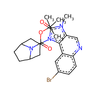 Cn1c(=O)n(C2CC3CCC(C2)N3C(=O)OC(C)(C)C)c2c3cc(Br)ccc3ncc21